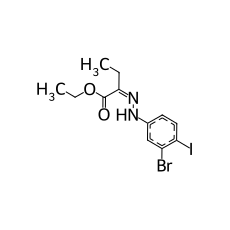 CCOC(=O)C(CC)=NNc1ccc(I)c(Br)c1